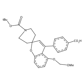 COCOc1cccc2c1C(c1ccc(C(=O)O)cc1)=CC1(CCN(C(=O)OC(C)(C)C)CC1)O2